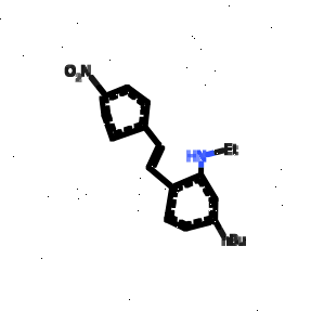 CCCCc1ccc(C=Cc2ccc([N+](=O)[O-])cc2)c(NCC)c1